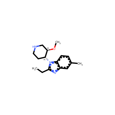 CCc1nc2cc(C)ccc2n1[C@@H]1CCNC[C@H]1OC